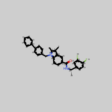 Cc1c(C)n(Cc2ccc(-c3ccccc3)cc2)c2ccc(C(=O)N[C@@H](C)c3ccc(F)c(F)c3)cc12